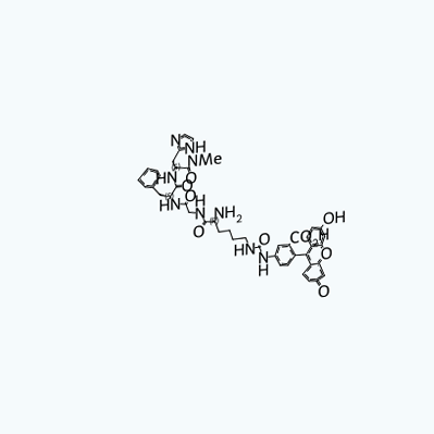 CNC(=O)[C@H](Cc1ncc[nH]1)NC(=O)[C@H](Cc1ccccc1)NC(=O)CNC(=O)[C@H](N)CCCCNC(=O)Nc1ccc(-c2c3ccc(=O)cc-3oc3cc(O)ccc23)c(C(=O)O)c1